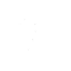 COc1c(F)cc(C2=NC3(CCC(C(C)(C)C)CC3)N(C(c3ccc(C(=O)O)cc3)C3CC3)C2=O)cc1F